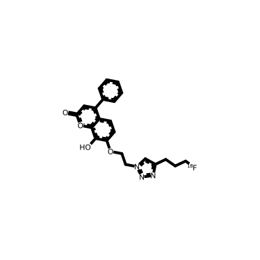 O=c1cc(-c2ccccc2)c2ccc(OCCn3cc(CCC[18F])nn3)c(O)c2o1